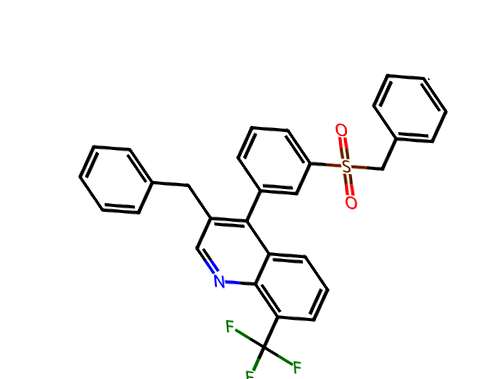 O=S(=O)(Cc1cc[c]cc1)c1cccc(-c2c(Cc3ccccc3)cnc3c(C(F)(F)F)cccc23)c1